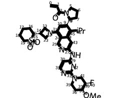 C=CC(=O)N1CCC[C@@H]1c1cc(N2CC([C@H]3CCCCS3(=O)=O)C2)c2cnc(Nc3ccnc(N4CC[C@@H](OC)[C@@H](F)C4)n3)cc2c1C(C)C